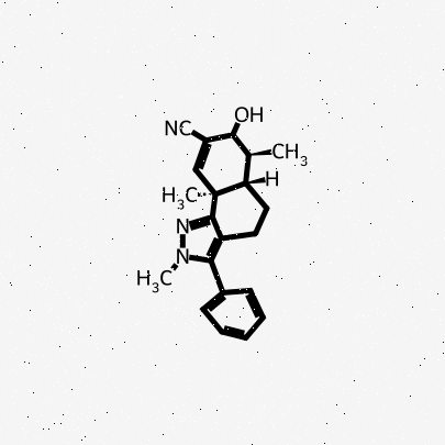 C[C@@H]1C(O)C(C#N)=C[C@]2(C)c3nn(C)c(-c4ccccc4)c3CC[C@@H]12